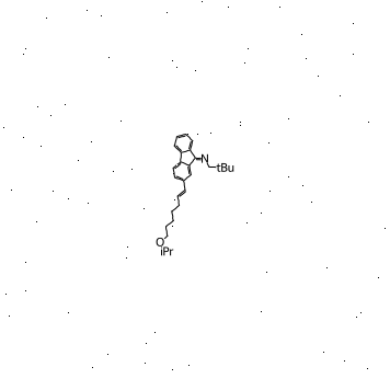 CC(C)OCCCCC/C=C/c1ccc2c(c1)/C(=N\CC(C)(C)C)c1ccccc1-2